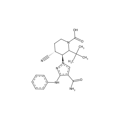 CC(C)(C)C1[C@@H](n2cc(C(N)=O)c(Nc3ccccc3)n2)[C@H](C#N)CCN1C(=O)O